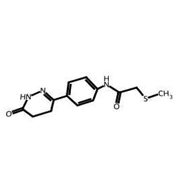 CSCC(=O)Nc1ccc(C2=NNC(=O)CC2)cc1